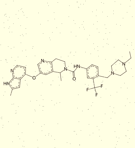 CCN1CCN(Cc2ccc(NC(=O)N3CCc4ncc(Oc5ccnc6[nH]c(C)cc56)cc4C3C)cc2C(F)(F)F)CC1